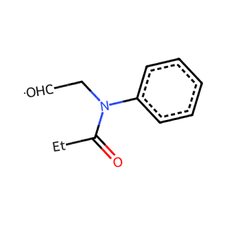 CCC(=O)N(C[C]=O)c1ccccc1